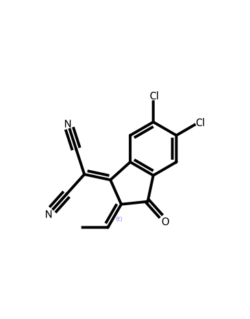 C/C=C1/C(=O)c2cc(Cl)c(Cl)cc2C1=C(C#N)C#N